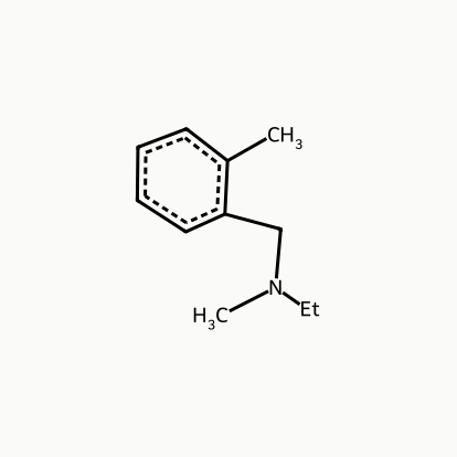 CCN(C)Cc1ccccc1C